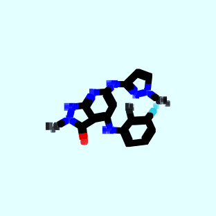 CCc1c(F)cccc1Nc1cc(Nc2ccn(C)n2)nc2[nH]n(C)c(=O)c12